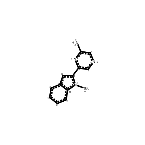 CC(C)(C)n1c(-c2cncc(N)n2)cc2ccccc21